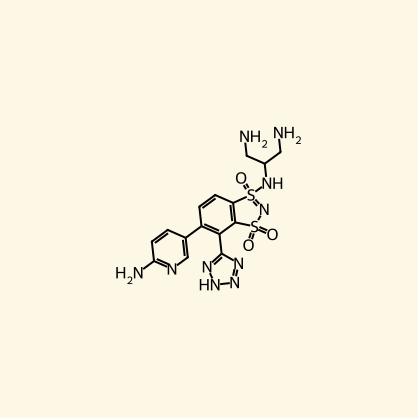 NCC(CN)NS1(=O)=NS(=O)(=O)c2c1ccc(-c1ccc(N)nc1)c2-c1nn[nH]n1